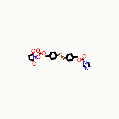 O=C(OCc1ccc(SSc2ccc(COC(=O)n3ccnc3)cc2)cc1)ON1C(=O)CCC1=O